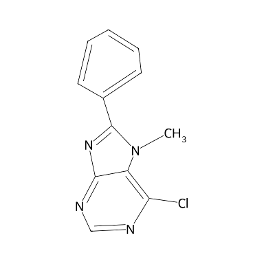 Cn1c(-c2ccccc2)nc2ncnc(Cl)c21